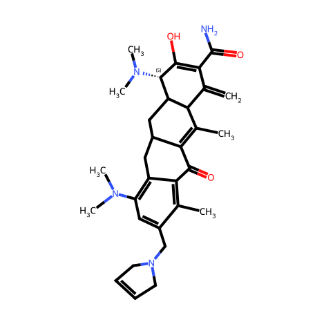 C=C1C(C(N)=O)=C(O)[C@@H](N(C)C)C2CC3Cc4c(N(C)C)cc(CN5CC=CC5)c(C)c4C(=O)C3=C(C)C12